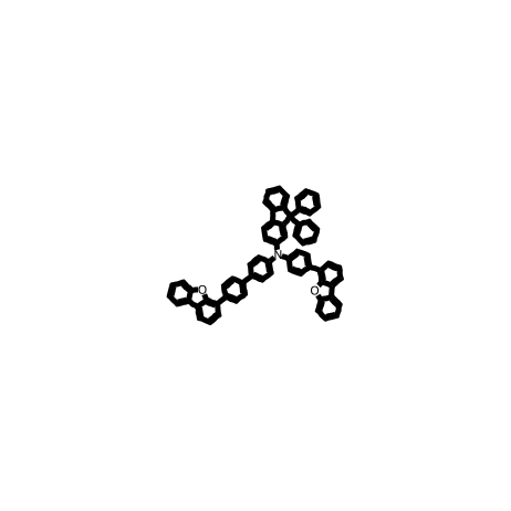 c1ccc(C2(c3ccccc3)c3ccccc3-c3ccc(N(c4ccc(-c5ccc(-c6cccc7c6oc6ccccc67)cc5)cc4)c4ccc(-c5cccc6c5oc5ccccc56)cc4)cc32)cc1